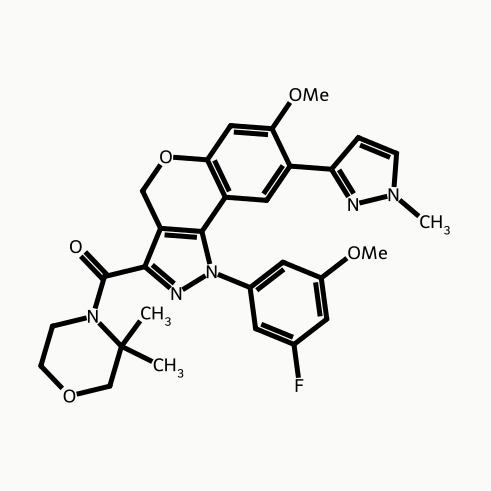 COc1cc(F)cc(-n2nc(C(=O)N3CCOCC3(C)C)c3c2-c2cc(-c4ccn(C)n4)c(OC)cc2OC3)c1